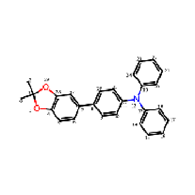 CC1(C)Oc2ccc(-c3ccc(N(c4ccccc4)c4ccccc4)cc3)cc2O1